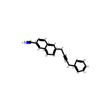 N#Cc1ccc2cc(CC#CCc3ccccc3)ccc2c1